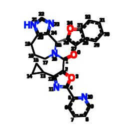 O=C(c1oc(-c2ccccn2)nc1C1CC1)N1CCCc2[nH]cnc2[C@@H]1c1cc2ccccc2o1